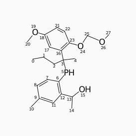 CCCC(C)(Pc1ccc(C)cc1C(C)O)c1cc(OC)ccc1OCOC